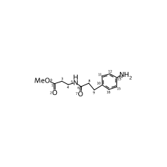 COC(=O)CCNC(=O)CCc1ccc(N)cc1